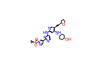 O=S(=O)(C1CC1)n1cc(-c2nccc(Nc3cc(NC[C@H]4CC[C@H](O)CC4)c(C#CC4CCCO4)cn3)n2)cn1